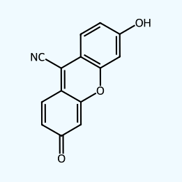 N#Cc1c2ccc(=O)cc-2oc2cc(O)ccc12